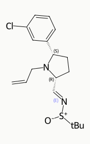 C=CCN1[C@@H](/C=N/[S+]([O-])C(C)(C)C)CC[C@H]1c1cccc(Cl)c1